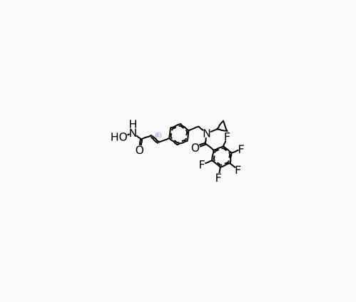 O=C(/C=C/c1ccc(CN(C(=O)c2c(F)c(F)c(F)c(F)c2F)C2CC2)cc1)NO